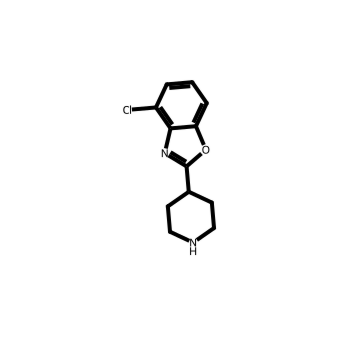 Clc1cccc2oc(C3CCNCC3)nc12